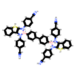 N#Cc1ccc(N2B(c3ccc(-c4ccc(B5N(c6ccc(C#N)cc6)c6sc7ccccc7c6N5c5ccc(C#N)cc5)cc4)cc3)N(c3ccc(C#N)cc3)c3c2sc2ccccc32)cc1